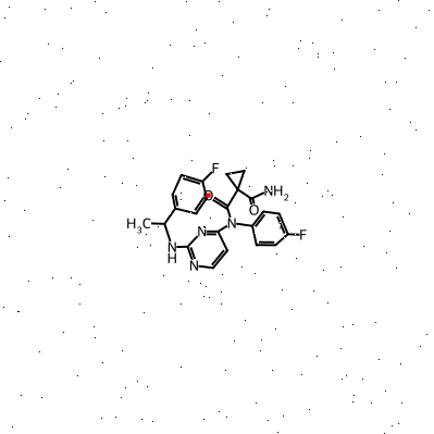 CC(Nc1nccc(N(C(=O)C2(C(N)=O)CC2)c2ccc(F)cc2)n1)c1ccc(F)cc1